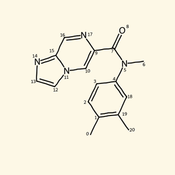 Cc1ccc(N(C)C(=O)c2cn3ccnc3cn2)cc1C